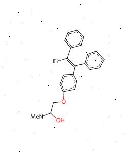 CCC(=C(c1ccccc1)c1ccc(OCC(O)NC)cc1)c1ccccc1